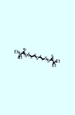 CCN(CC)C(=S)SSCCSCCSSC(=S)N(CC)CC